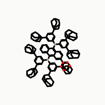 c1ccc(-c2ccc3c(N(c4cc(C5C6CC7CC(C6)CC5C7)cc(C5C6CC7CC(C6)CC5C7)c4)c4cc(C56CC7CC(CC5C7)C6)cc(C56CC7CC(CC5C7)C6)c4)c4ccccc4c(N(c4cc(C5C6CC7CC(C6)CC5C7)cc(C5C6CC7CC(C6)CC5C7)c4)c4cc(C56CC7CC(CC5C7)C6)cc(C56CC7CC(CC5C7)C6)c4)c3c2)cc1